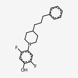 Oc1cc(F)c(N2CCC(CCCc3ccccc3)CC2)cc1F